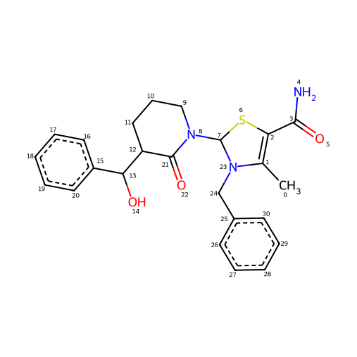 CC1=C(C(N)=O)SC(N2CCCC(C(O)c3ccccc3)C2=O)N1Cc1ccccc1